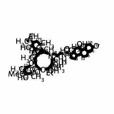 CC[C@H]1OC(=O)C(C)[C@@H](O[C@@H]2C[C@](C)(OC)[C@H](O)C(C)O2)[C@H](C)[C@@H](O[C@@H]2O[C@H](C)C[C@@H](N(C)C)[C@H]2O)[C@]2(O)C[C@@]2(C)CN(CCCNC(=O)[C@H]2CCC3C4CCC5=CC(=O)CC[C@]5(C)C4[C@@H](O)C[C@@]32C)[C@H](C)[C@@H](O)[C@]1(C)O